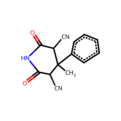 CC1(c2ccccc2)C(C#N)C(=O)NC(=O)C1C#N